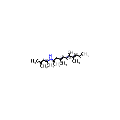 C=C(C)/C=C(\C)NC(=C)C/C(C)=C/C=C(C)/C(C)=C/CC